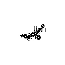 COCCNC(=O)Oc1[nH]c2ccc(NS(=O)(=O)c3ccc(C(C)(C)C)cc3)cc2c1-c1ccccc1